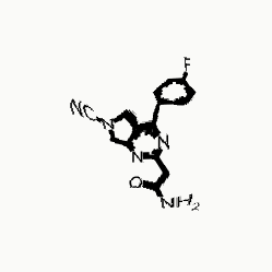 N#CN1Cc2nc(CC(N)=O)nc(-c3ccc(F)cc3)c2C1